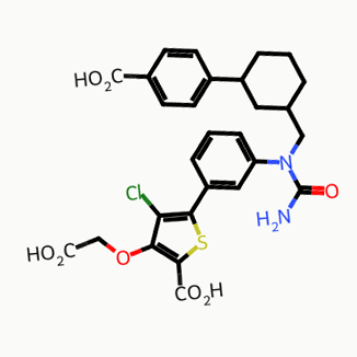 NC(=O)N(CC1CCCC(c2ccc(C(=O)O)cc2)C1)c1cccc(-c2sc(C(=O)O)c(OCC(=O)O)c2Cl)c1